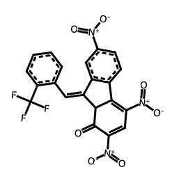 O=C1C([N+](=O)[O-])=CC([N+](=O)[O-])=C2c3ccc([N+](=O)[O-])cc3C(=Cc3ccccc3C(F)(F)F)C12